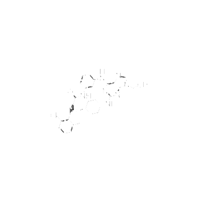 CCn1cnc2c(Nc3cccc(NC(=O)C#Cc4c(Cl)cccc4Cl)c3)nc(N[C@H]3CC[C@H](O)CC3)nc21